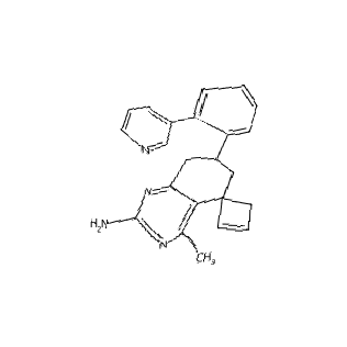 Cc1nc(N)nc2c1C1(C=CC1)CC(c1ccccc1-c1cccnc1)C2